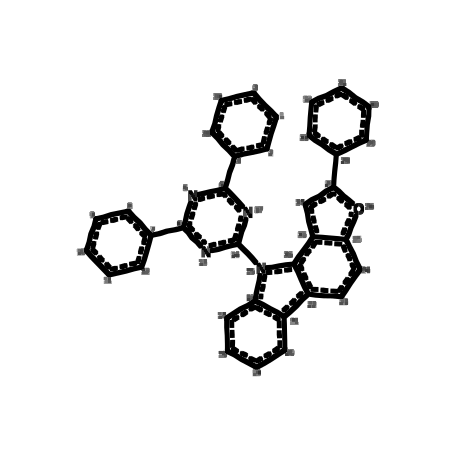 c1ccc(-c2nc(-c3ccccc3)nc(-n3c4ccccc4c4ccc5oc(-c6ccccc6)cc5c43)n2)cc1